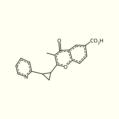 Cc1c(C2CC2c2ccccn2)oc2ccc(C(=O)O)cc2c1=O